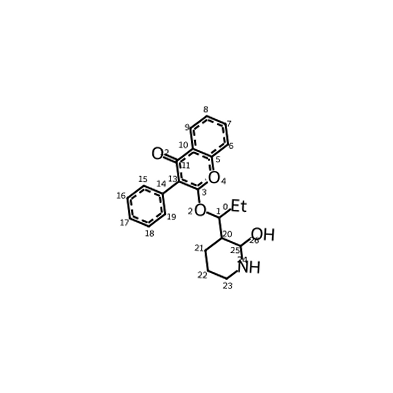 CCC(Oc1oc2ccccc2c(=O)c1-c1ccccc1)C1CCCNC1O